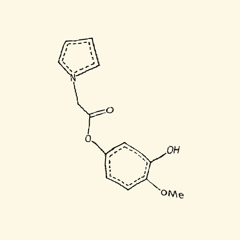 COc1ccc(OC(=O)Cn2cccc2)cc1O